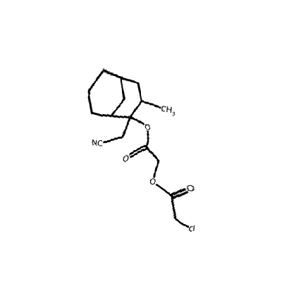 CC1CC2CCCC(C2)C1(CC#N)OC(=O)COC(=O)CCl